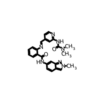 CN(C)C(=O)Nc1cc(C=Nc2ccccc2C(=O)Nc2ccc3cn(C)nc3c2)ccn1